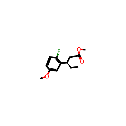 CC[C@H](CC(=O)OC)c1cc(OC)ccc1F